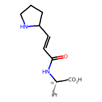 CC(C)[C@H](NC(=O)C=CC1CCCN1)C(=O)O